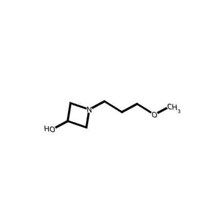 COCCCN1CC(O)C1